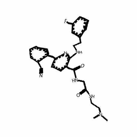 CN(C)CCNC(=O)CNC(=O)c1ccc(-c2ccccc2C#N)nc1NCCc1cccc(F)c1